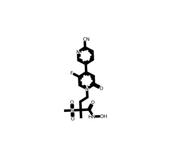 CC(CCn1cc(F)c(-c2ccc(C#N)nc2)cc1=O)(C(=O)NO)S(C)(=O)=O